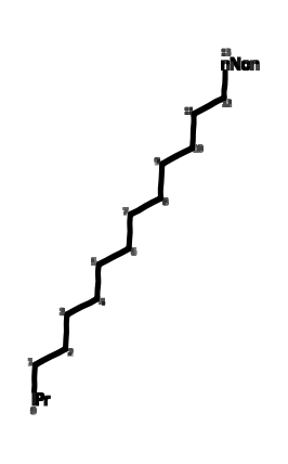 [CH2]C(C)CCCCCCCCCCCCCCCCCCCCC